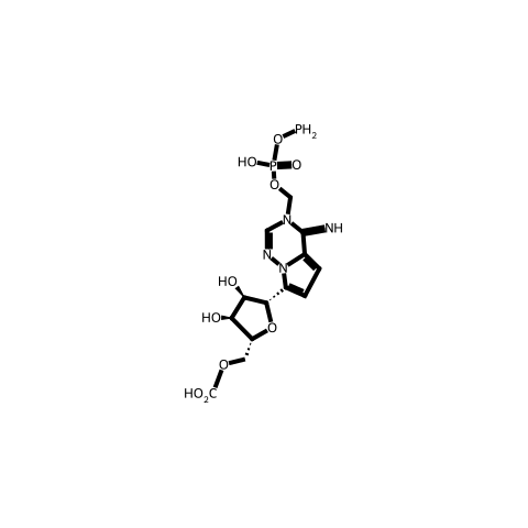 N=c1c2ccc([C@@H]3O[C@H](COC(=O)O)[C@@H](O)[C@H]3O)n2ncn1COP(=O)(O)OP